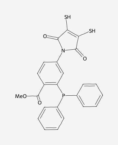 COC(=O)c1ccc(N2C(=O)C(S)=C(S)C2=O)cc1P(c1ccccc1)c1ccccc1